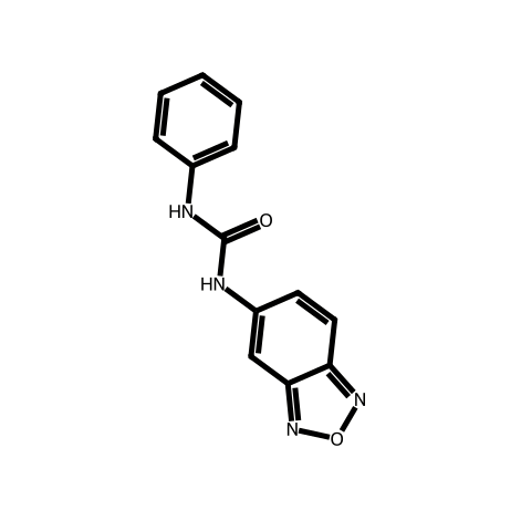 O=C(Nc1ccccc1)Nc1ccc2nonc2c1